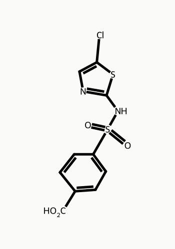 O=C(O)c1ccc(S(=O)(=O)Nc2ncc(Cl)s2)cc1